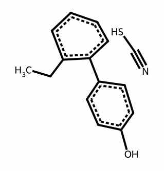 CCc1ccccc1-c1ccc(O)cc1.N#CS